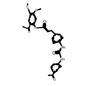 COc1cc(NC(=O)CCc2ccc(NC(=O)Nc3ccc(C(C)=O)cc3)cc2)c(C(C)=O)cc1OC